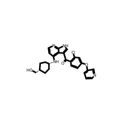 O=C(c1ccc(Oc2cccnc2)cc1Cl)c1c[nH]c2nccc(N[C@H]3CC[C@@H](CO)CC3)c12